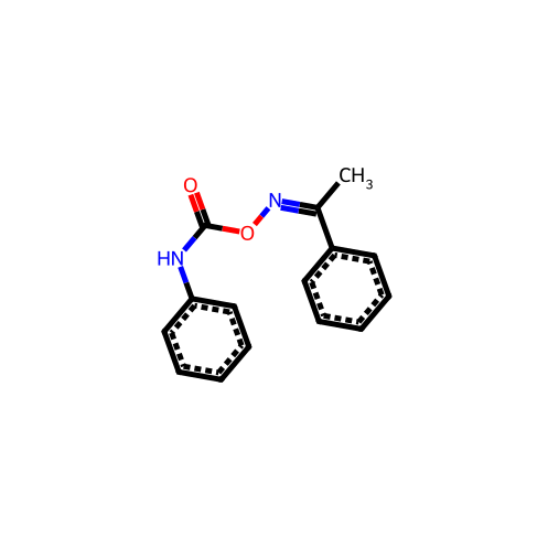 C/C(=N/OC(=O)Nc1ccccc1)c1ccccc1